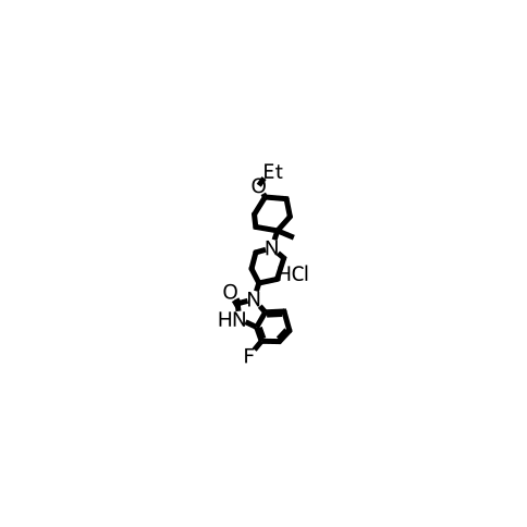 CCOC1CCC(C)(N2CCC(n3c(=O)[nH]c4c(F)cccc43)CC2)CC1.Cl